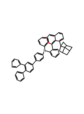 c1ccc(-c2ccc(-c3ccc(N(c4ccccc4)c4ccccc4-c4cccc5cccc(C67CC8CC9CC(C6)C987)c45)cc3)cc2-c2ccccc2)cc1